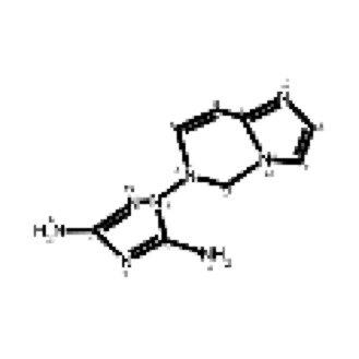 Nc1nc(N)n(N2C=CC3=NC=C[N+]3C2)n1